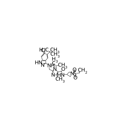 C=CS(=O)(=O)N1CC(NC(=O)c2c(C)nc(CNc3n[nH]c4cc(Cl)c(C(C)(C)C)cc34)n2C(C)C)C1